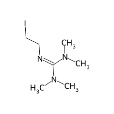 CN(C)C(=NCCI)N(C)C